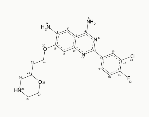 Nc1cc2c(N)nc(-c3ccc(F)c(Cl)c3)nc2cc1OCCC1CNCCO1